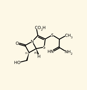 CC(SC1=C(C(=O)O)N2C(=O)[C@H](CO)[C@H]2S1)C(=N)N